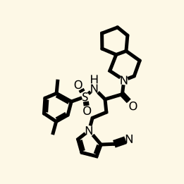 Cc1ccc(C)c(S(=O)(=O)NC(CCn2cccc2C#N)C(=O)N2CCC3CCCCC3C2)c1